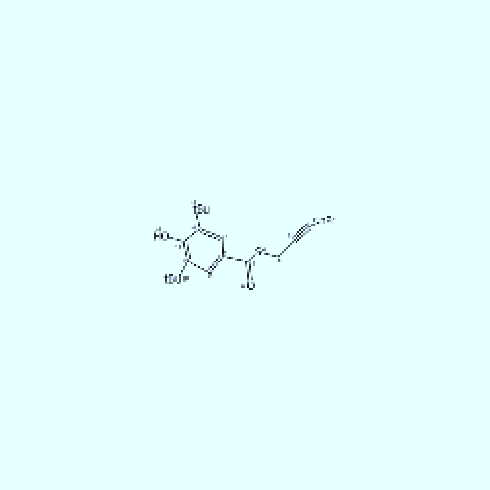 CCCC#CCSC(=O)c1cc(C(C)(C)C)c(O)c(C(C)(C)C)c1